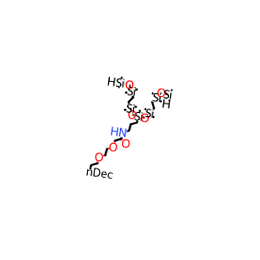 CCCCCCCCCCCCOCCOCC(=O)NCCC[Si](C)(O[Si](C)(C)CC[Si](C)(C)O[SiH](C)C)O[Si](C)(C)CC[Si](C)(C)O[SiH](C)C